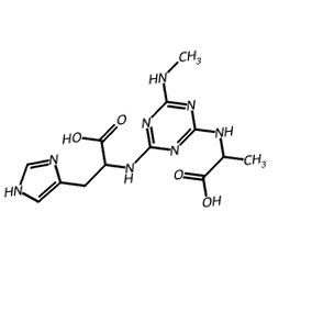 CNc1nc(NC(C)C(=O)O)nc(NC(Cc2c[nH]cn2)C(=O)O)n1